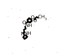 CCCC(=O)Oc1ccc(C(=O)NCCCc2nc3ccccc3[nH]2)cc1